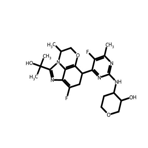 Cc1nc(NC2CCOCC2O)nc(C2CC(F)=c3nc(C(C)(C)O)n4c3=C2OCC4C)c1F